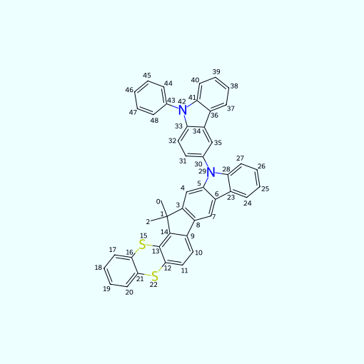 CC1(C)c2cc3c(cc2-c2ccc4c(c21)Sc1ccccc1S4)c1ccccc1n3-c1ccc2c(c1)c1ccccc1n2-c1ccccc1